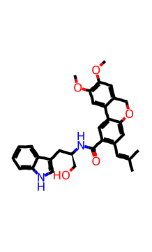 COc1cc2c(cc1OC)-c1cc(C(=O)N[C@@H](CO)Cc3c[nH]c4ccccc34)c(C=C(C)C)cc1OC2